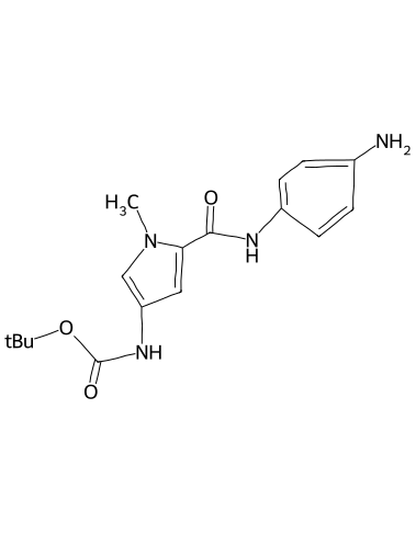 Cn1cc(NC(=O)OC(C)(C)C)cc1C(=O)Nc1ccc(N)cc1